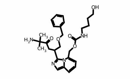 CC(C)(N)C(=O)CC(COCc1ccccc1)c1ncc2cccc(COC(=O)NCCCCO)n12